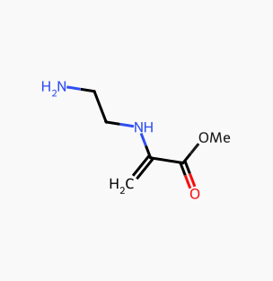 C=C(NCCN)C(=O)OC